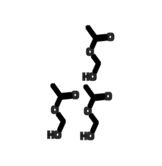 CC(=O)OCO.CC(=O)OCO.CC(=O)OCO